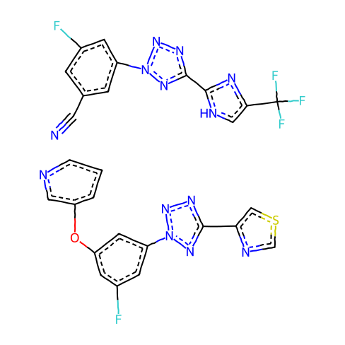 Fc1cc(Oc2cccnc2)cc(-n2nnc(-c3cscn3)n2)c1.N#Cc1cc(F)cc(-n2nnc(-c3nc(C(F)(F)F)c[nH]3)n2)c1